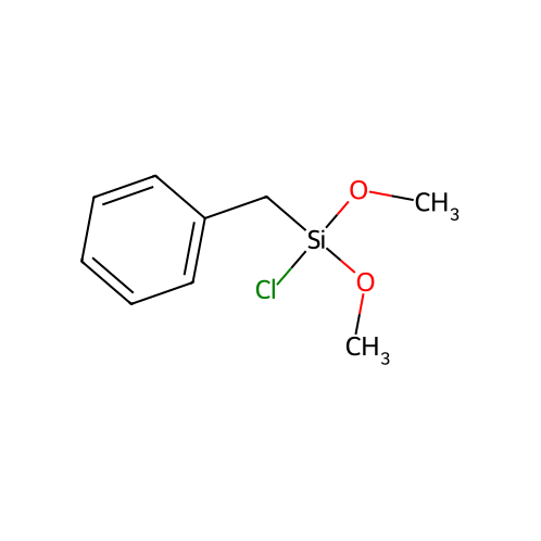 CO[Si](Cl)(Cc1ccccc1)OC